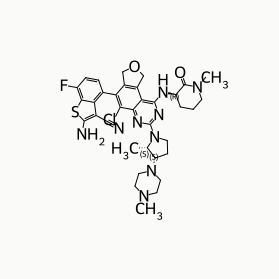 C[C@H]1[C@@H](N2CCN(C)CC2)CCN1c1nc(N[C@@H]2CCCN(C)C2=O)c2c3c(c(-c4ccc(F)c5sc(N)c(C#N)c45)c(Cl)c2n1)COC3